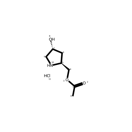 CC(=O)OC[C@@H]1C[C@@H](O)CN1.Cl